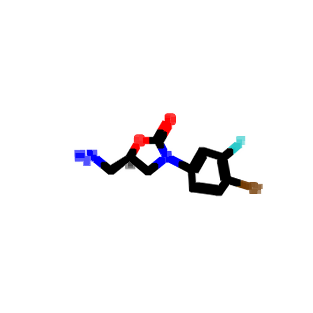 NC[C@@H]1CN(c2ccc(Br)c(F)c2)C(=O)O1